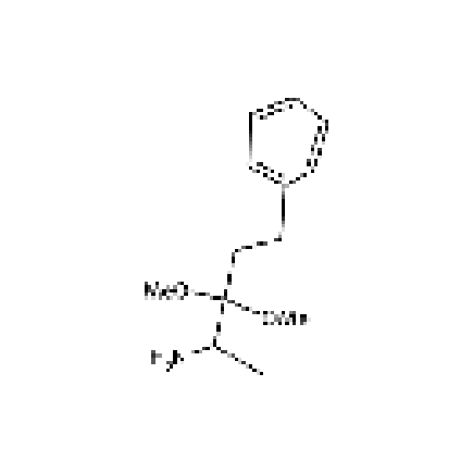 COC(CCc1ccccc1)(OC)C(C)N